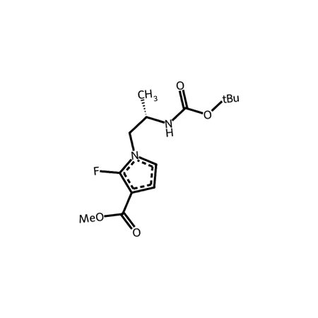 COC(=O)c1ccn(C[C@H](C)NC(=O)OC(C)(C)C)c1F